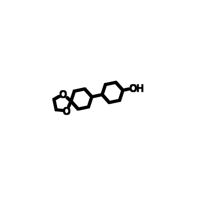 OC1CCC(C2CCC3(CC2)OCCO3)CC1